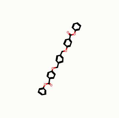 O=C(Oc1ccccc1)c1ccc(OCc2ccc(COc3ccc(C(=O)Oc4ccccc4)cc3)cc2)cc1